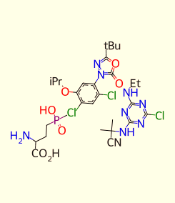 CC(C)Oc1cc(-n2nc(C(C)(C)C)oc2=O)c(Cl)cc1Cl.CCNc1nc(Cl)nc(NC(C)(C)C#N)n1.CP(=O)(O)CCC(N)C(=O)O